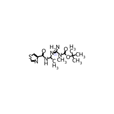 CC(/N=C(/N)N(C)C(=O)OC(C)(C)C)NC(=O)c1cscn1